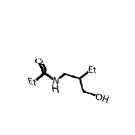 CCC(=O)NCC(CC)CO